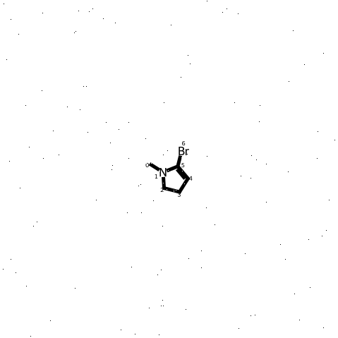 CN1CCC=C1Br